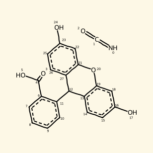 N=C=O.O=C(O)c1ccccc1C1c2ccc(O)cc2Oc2cc(O)ccc21